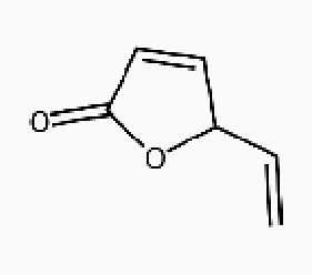 C=CC1C=CC(=O)O1